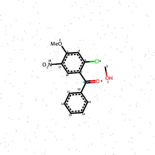 CO.COc1cc(Cl)c(C(=O)c2ccccc2)cc1[N+](=O)[O-]